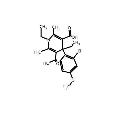 CCN1C(C)=C(C(=O)O)C(CC)(c2ccc(OC)cc2Cl)C(C(=O)O)=C1C